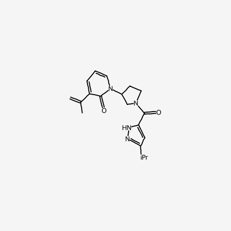 C=C(C)c1cccn(C2CCN(C(=O)c3cc(C(C)C)n[nH]3)C2)c1=O